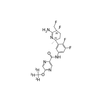 [2H]C([2H])([2H])Oc1cnc(C(=O)Nc2cc(F)c(F)c([C@]3(C)CC[C@](F)(CF)C(N)=N3)c2)cn1